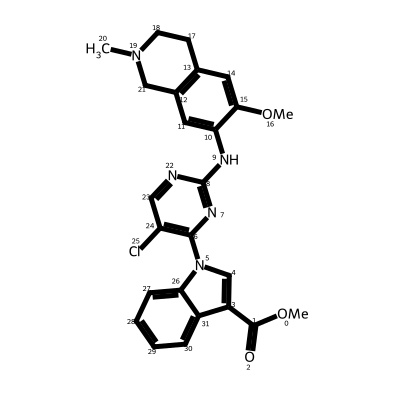 COC(=O)c1cn(-c2nc(Nc3cc4c(cc3OC)CCN(C)C4)ncc2Cl)c2ccccc12